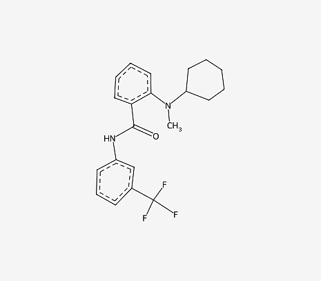 CN(c1ccccc1C(=O)Nc1cccc(C(F)(F)F)c1)C1CCCCC1